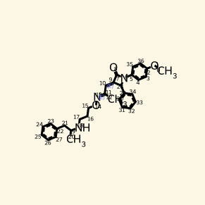 COc1ccc(N2C(=O)/C(=C/C(C)=N/OCCCNC(C)Cc3ccccc3)C2c2ccccc2)cc1